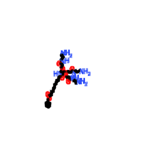 NCCCNC(=O)CCOCC(COCCC(=O)NCCCN)(COCCC(=O)NCCCN)NC(=O)CCCCCCCCCCC(=O)OCc1ccccc1